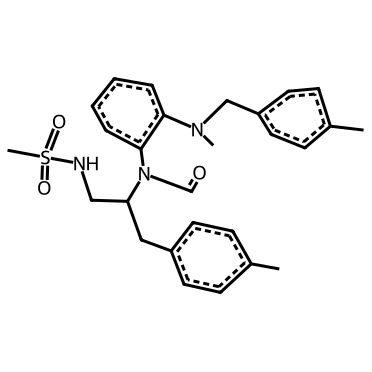 Cc1ccc(CC(CNS(C)(=O)=O)N(C=O)c2ccccc2N(C)Cc2ccc(C)cc2)cc1